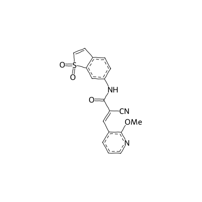 COc1ncccc1/C=C(\C#N)C(=O)Nc1ccc2c(c1)S(=O)(=O)C=C2